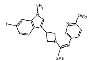 COc1ccc(/N=C(/SC)N2CC(c3cn(C)c4cc(F)ccc34)C2)cn1